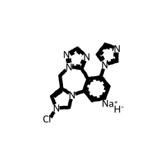 ClN1C=C2Cn3ncnc3-c3c(cccc3-n3ccnc3)N2C1.[H-].[Na+]